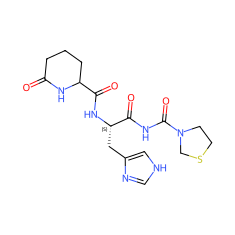 O=C1CCCC(C(=O)N[C@@H](Cc2c[nH]cn2)C(=O)NC(=O)N2CCSC2)N1